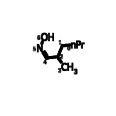 CCCC[C](C)/C=N\O